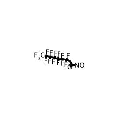 O=NC(=O)CC(F)(F)C(F)(F)C(F)(F)C(F)(F)C(F)(F)C(F)(F)C(F)(F)F